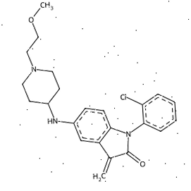 C=C1C(=O)N(c2ccccc2Cl)c2ccc(NC3CCN(CCOC)CC3)cc21